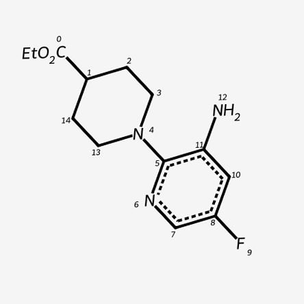 CCOC(=O)C1CCN(c2ncc(F)cc2N)CC1